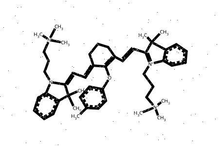 Cc1ccc(OC2=C(/C=C/C3=[N+](CCC[N+](C)(C)C)c4ccccc4C3(C)C)CCC/C2=C\C=C2\N(CCC[N+](C)(C)C)c3ccccc3C2(C)C)cc1